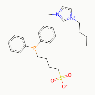 CCCC[n+]1ccn(C)c1.O=S(=O)([O-])CCCCP(c1ccccc1)c1ccccc1